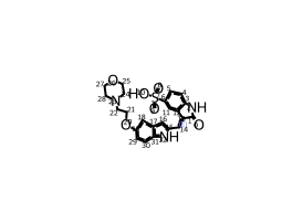 O=C1Nc2ccc(S(=O)(=O)O)cc2/C1=C\c1cc2cc(OCCN3CCOCC3)ccc2[nH]1